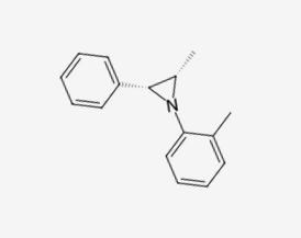 Cc1ccccc1N1[C@H](c2ccccc2)[C@@H]1C